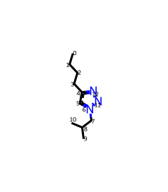 CCCCc1cn(CC(C)C)nn1